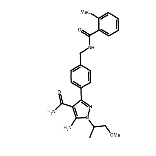 COCC(C)n1nc(-c2ccc(CNC(=O)c3ccccc3OC)cc2)c(C(N)=O)c1N